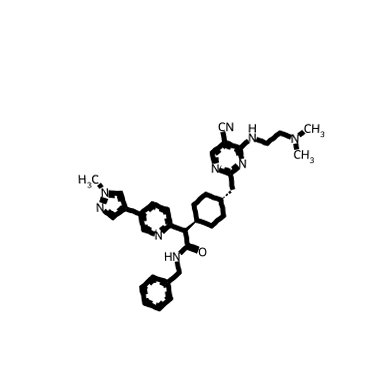 CN(C)CCNc1nc(C[C@H]2CC[C@H](C(C(=O)NCc3ccccc3)c3ccc(-c4cnn(C)c4)cn3)CC2)ncc1C#N